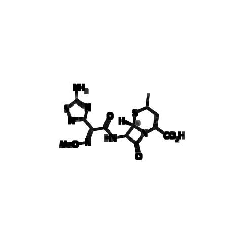 CON=C(C(=O)NC1C(=O)N2C(C(=O)O)=CC(C)S[C@@H]12)c1nsc(N)n1